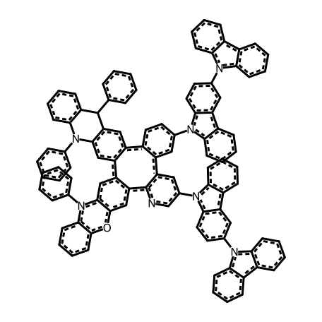 c1ccc(C2c3ccccc3N(c3ccccc3)c3cc4c(cc32)c2ccc(-n3c5ccccc5c5cc(-n6c7ccccc7c7ccccc76)ccc53)cc2c2cc(-n3c5ccccc5c5cc(-n6c7ccccc7c7ccccc76)ccc53)cnc2c2cc3oc5ccccc5n(-c5ccccc5)c3cc42)cc1